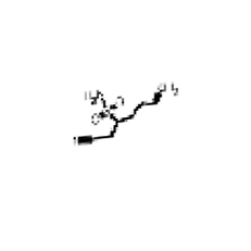 C=CCCC(CC#N)S(N)(=O)=O